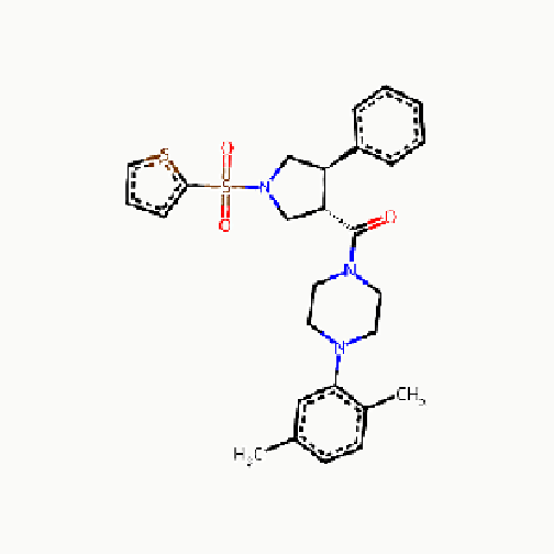 Cc1ccc(C)c(N2CCN(C(=O)[C@@H]3CN(S(=O)(=O)c4cccs4)C[C@H]3c3ccccc3)CC2)c1